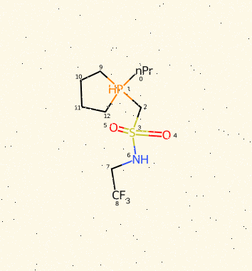 CCC[PH]1(CS(=O)(=O)NCC(F)(F)F)CCCC1